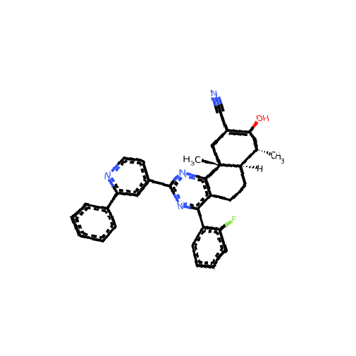 C[C@H]1C(O)=C(C#N)C[C@@]2(C)c3nc(-c4ccnc(-c5ccccc5)c4)nc(-c4ccccc4F)c3CC[C@H]12